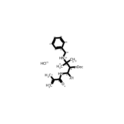 C=C(C)C(=O)NC(CC)C(CCCCCCCCCC)C(C)(C)NCc1ccccc1.Cl